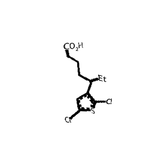 CCC(CCCC(=O)O)c1cc(Cl)sc1Cl